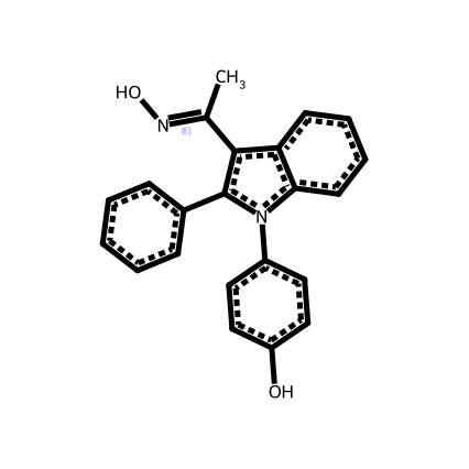 C/C(=N\O)c1c(-c2ccccc2)n(-c2ccc(O)cc2)c2ccccc12